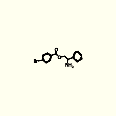 NC(COC(=O)c1ccc(Br)cc1)c1ccccc1